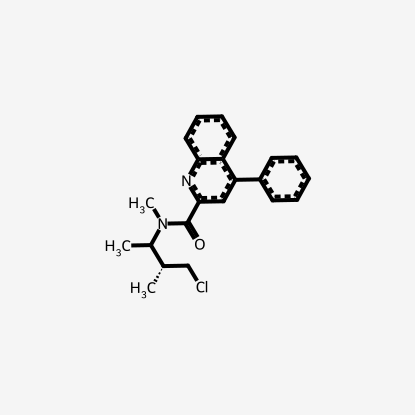 CC([C@@H](C)CCl)N(C)C(=O)c1cc(-c2ccccc2)c2ccccc2n1